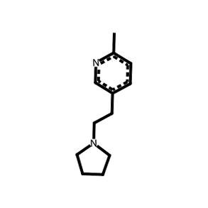 Cc1ccc(CCN2CCCC2)cn1